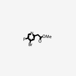 COC(=O)Cc1cc(Br)c(F)cn1